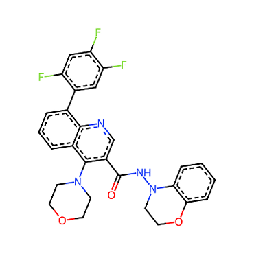 O=C(NN1CCOc2ccccc21)c1cnc2c(-c3cc(F)c(F)cc3F)cccc2c1N1CCOCC1